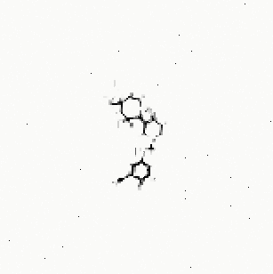 N#Cc1cc(NC(=O)N2CCc3nn4c(c3C2)C(F)(F)CC(O)(CF)CC4)ccc1F